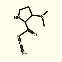 CN(C)C1CCNC1C(=O)N=C=N